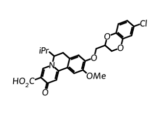 COc1cc2c(cc1OCC1COc3cc(Cl)ccc3O1)CC(C(C)C)n1cc(C(=O)O)c(=O)cc1-2